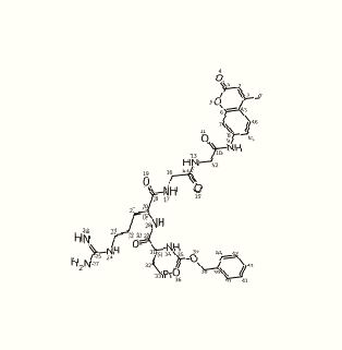 Cc1cc(=O)oc2cc(NC(=O)CNC(=O)CNC(=O)[C@H](CCCNC(=N)N)NC(=O)[C@H](CC(C)C)NC(=O)OCc3ccccc3)ccc12